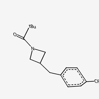 CC(C)(C)C(=O)N1CC(Cc2ccc(C(F)(F)F)cc2)C1